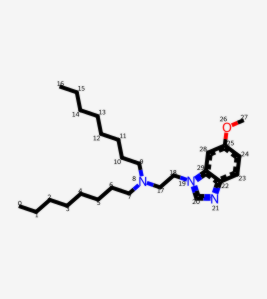 CCCCCCCCN(CCCCCCCC)CCn1cnc2ccc(OC)cc21